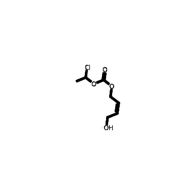 CC(Cl)OC(=O)OC/C=C\CO